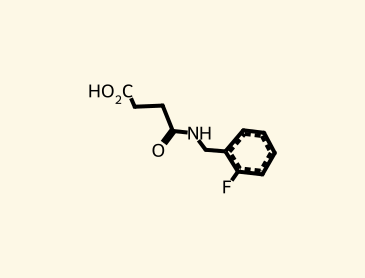 O=C(O)CCC(=O)NCc1ccccc1F